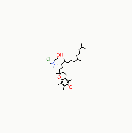 C[N+](C)(C)CCO.Cc1c(C)c2c(c(C)c1O)CC[C@@](C)(CCCC(C)CCCC(C)CCCC(C)C)O2.[Cl-]